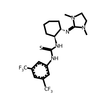 CN1CCN(C)C1=N[C@H]1CCCC[C@@H]1NC(=S)Nc1cc(C(F)(F)F)cc(C(F)(F)F)c1